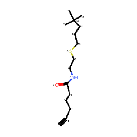 C#CCCCC(=O)NCCSCCCC(C)(C)C